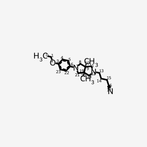 CCOc1ccc(N2C[C@]3(C)CN(CCCC#N)C[C@]3(C)C2)cc1